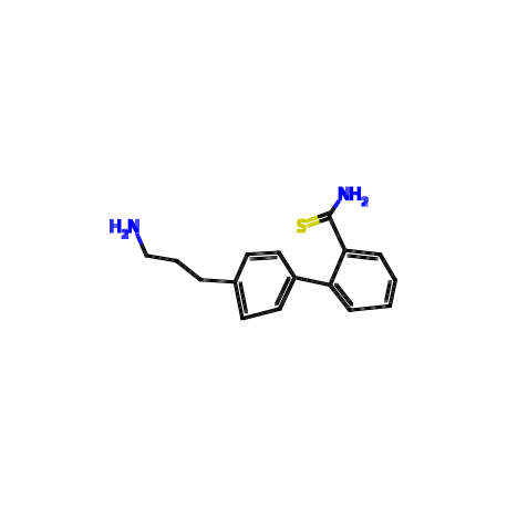 NCCCc1ccc(-c2ccccc2C(N)=S)cc1